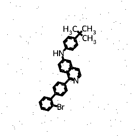 CC(C)(C)c1ccc(Nc2ccc3c(-c4ccc(-c5ccccc5Br)cc4)nccc3c2)cc1